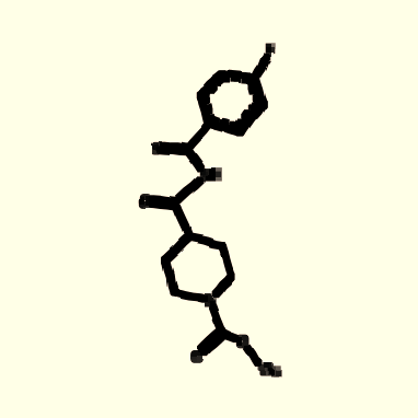 CC(C)(C)OC(=O)N1CCC(C(=O)NC(=S)c2ccc(F)cc2)CC1